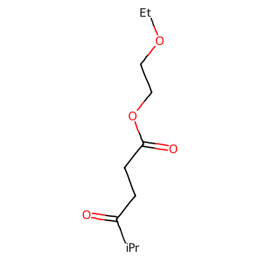 CCOCCOC(=O)CCC(=O)C(C)C